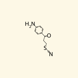 N#CSCCC(=O)c1ccc(N)cc1